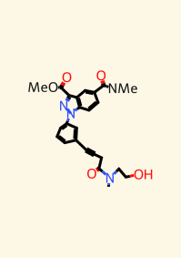 CNC(=O)c1ccc2c(c1)c(C(=O)OC)nn2-c1cccc(C#CCC(=O)N(C)CCO)c1